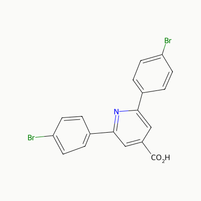 O=C(O)c1cc(-c2ccc(Br)cc2)nc(-c2ccc(Br)cc2)c1